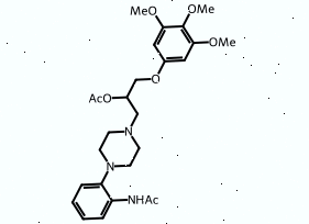 COc1cc(OCC(CN2CCN(c3ccccc3NC(C)=O)CC2)OC(C)=O)cc(OC)c1OC